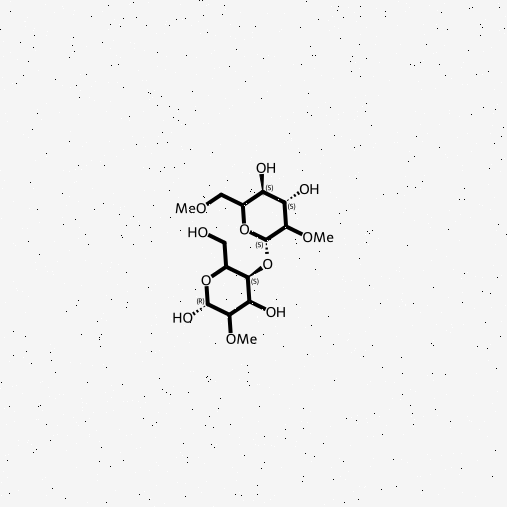 COCC1O[C@@H](O[C@@H]2C(CO)O[C@@H](O)C(OC)C2O)C(OC)[C@@H](O)[C@@H]1O